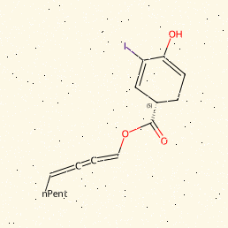 CCCCCC=C=C=COC(=O)[C@@H]1C=C(I)C(O)=CC1